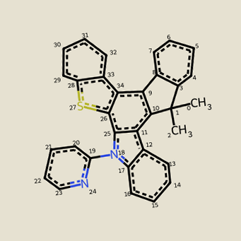 CC1(C)c2ccccc2-c2c1c1c3ccccc3n(-c3ccccn3)c1c1sc3ccccc3c21